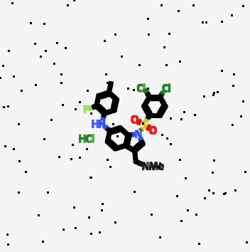 CNCc1cn(S(=O)(=O)c2ccc(Cl)c(Cl)c2)c2cc(Nc3ccc(C)cc3F)ccc12.Cl